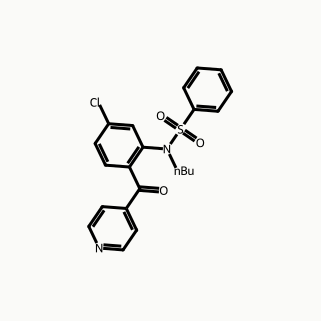 CCCCN(c1cc(Cl)ccc1C(=O)c1ccncc1)S(=O)(=O)c1ccccc1